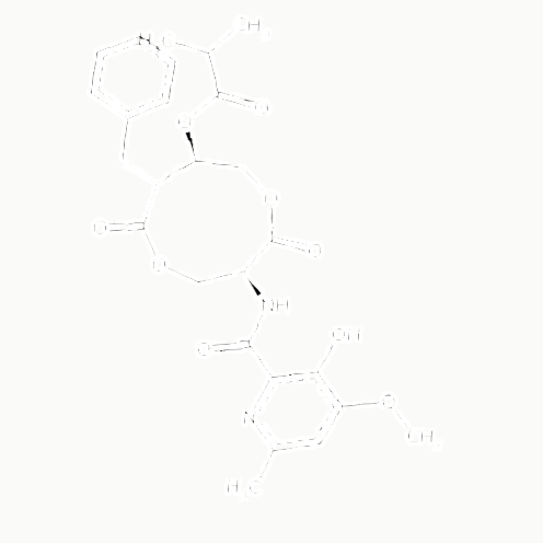 COc1cc(C)nc(C(=O)N[C@H]2COC(=O)[C@H](Cc3ccccc3)[C@@H](OC(=O)C(C)C)COC2=O)c1O